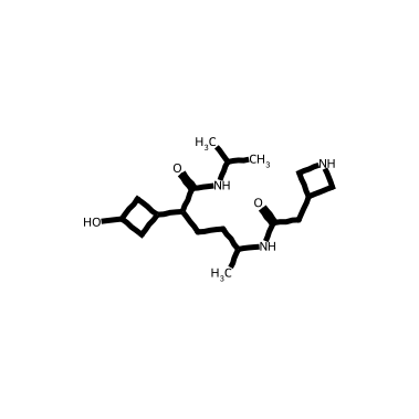 CC(C)NC(=O)C(CCC(C)NC(=O)CC1CNC1)C1CC(O)C1